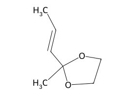 CC=CC1(C)OCCO1